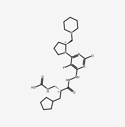 O=C(O)NC[C@@H](CC1CCCC1)C(=O)NNc1nc(Cl)nc(N2CCC[C@H]2CN2CCCCC2)c1F